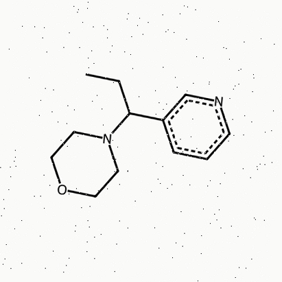 CCC(c1cccnc1)N1CCOCC1